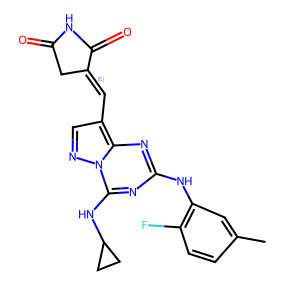 Cc1ccc(F)c(Nc2nc(NC3CC3)n3ncc(/C=C4\CC(=O)NC4=O)c3n2)c1